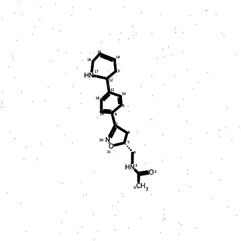 CC(=O)NC[C@H]1CC(c2ccc(C3CC=CCN3)cc2)=NO1